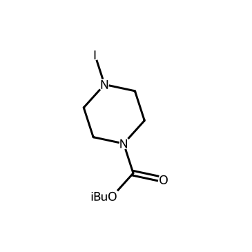 CC(C)COC(=O)N1CCN(I)CC1